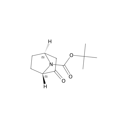 CC(C)(C)OC(=O)N1[C@H]2CC[C@H]1C(=O)C2